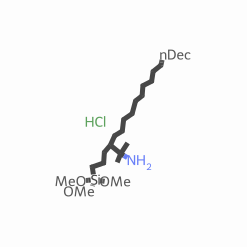 CCCCCCCCCCCCCCCCCCCCC(CCC[Si](OC)(OC)OC)C(C)(C)N.Cl